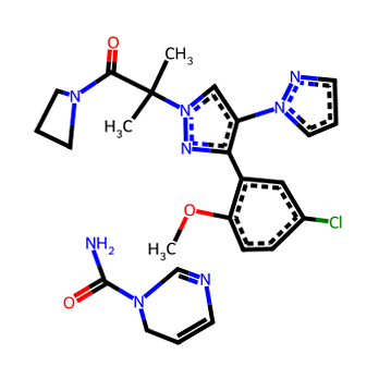 COc1ccc(Cl)cc1-c1nn(C(C)(C)C(=O)N2CCC2)cc1-n1cccn1.NC(=O)N1C=NC=CC1